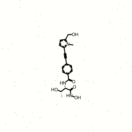 C[C@H](O)[C@H](NC(=O)c1ccc(C#Cc2ccc(CO)n2C)cc1)C(=O)NO